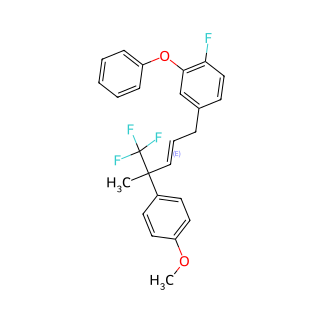 COc1ccc(C(C)(/C=C/Cc2ccc(F)c(Oc3ccccc3)c2)C(F)(F)F)cc1